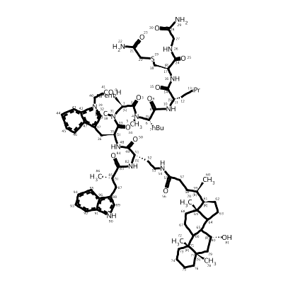 CCCCC[C@@H](C(=O)N(C)[C@@H](CCCC)C(=O)N[C@@H](CC(C)C)C(=O)N[C@@H](CSCC(N)=O)C(=O)NCC(N)=O)N(C)C(=O)[C@H](Cc1cn(CC(=O)O)c2ccccc12)NC(=O)[C@H](CCNC(=O)CC[C@@H](C)[C@H]1CCC2C3C(CC[C@@]21C)[C@@]1(C)CCCC[C@@]1(C)C[C@H]3O)NC(=O)[C@@H](C)Cc1c[nH]c2ccccc12